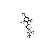 COc1cc(Cl)cc(Cl)c1C1=CCN(C(=O)OC(C)(C)C)CC1